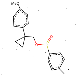 COc1ccc(C2(COS(=O)c3ccc(C)cc3)CC2)cc1